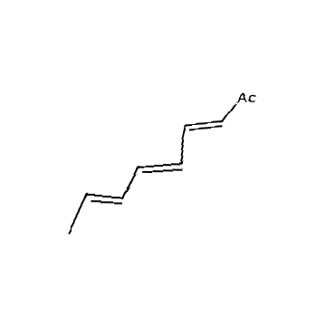 CC=CC=CC=CC(C)=O